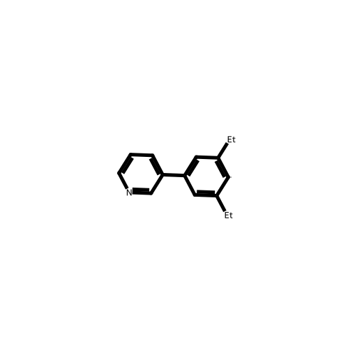 CCc1[c]c(CC)cc(-c2cccnc2)c1